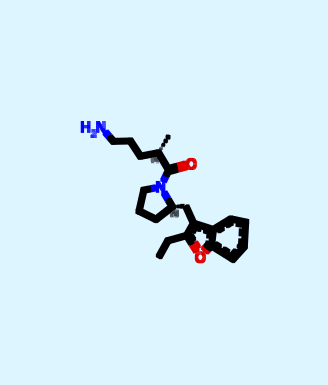 CCc1oc2ccccc2c1C[C@@H]1CCCN1C(=O)[C@@H](C)CCCN